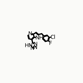 Fc1ccc(Cc2cc3nccc(-c4nnn[nH]4)c3[nH]2)cc1Cl